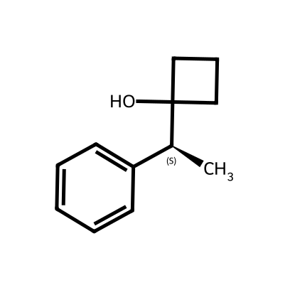 C[C@@H](c1ccccc1)C1(O)CCC1